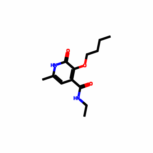 CCCCOc1c(C(=O)NCC)cc(C)[nH]c1=O